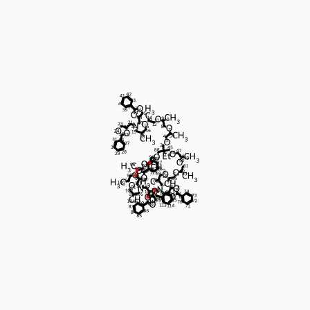 CCC(COCC(C)OCC(C)OCC(C)OCC(C)CN(CC1COC(c2ccccc2)O1)CC1COC(c2ccccc2)O1)(COCC(C)OCC(C)OCC(C)OCC(C)CN(CC1COC(c2ccccc2)O1)CC1COC(c2ccccc2)O1)COCC(C)OCC(C)OCC(C)OCC(C)CN(CC1COC(c2ccccc2)O1)CC1COC(c2ccccc2)O1